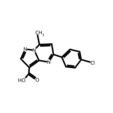 Cc1cc(-c2ccc(Cl)cc2)nc2c(C(=O)O)cnn12